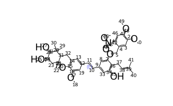 COc1cc(COc2cc(/C=C/c3cc4c(c(OC)c3)O[C@]3(C)C[C@@H](O)[C@@H](O)C(C)(C)C3C4)cc(O)c2CC=C(C)C)c([N+](=O)[O-])cc1OC